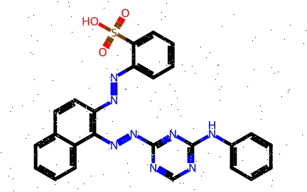 O=S(=O)(O)c1ccccc1/N=N/c1ccc2ccccc2c1/N=N/c1n[c]nc(Nc2ccccc2)n1